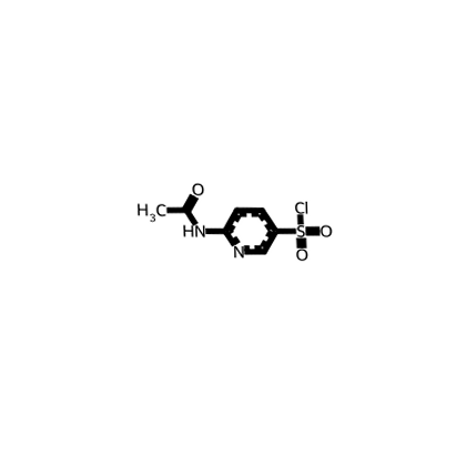 CC(=O)Nc1ccc(S(=O)(=O)Cl)cn1